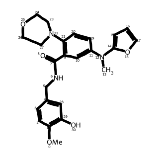 COc1ccc(CNC(=O)c2cc(N(C)c3ccco3)ccc2N2CCOCC2)cc1O